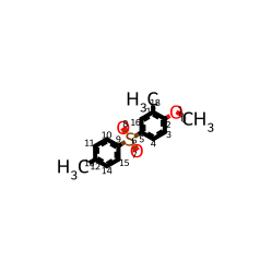 COc1ccc(S(=O)(=O)c2ccc(C)cc2)cc1C